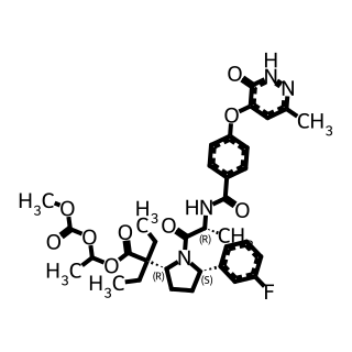 CCC(CC)(C(=O)OC(C)OC(=O)OC)[C@H]1CC[C@@H](c2cccc(F)c2)N1C(=O)[C@@H](C)NC(=O)c1ccc(Oc2cc(C)n[nH]c2=O)cc1